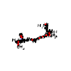 CCCOc1ccccc1-c1ncc(-c2ncc(-c3ccc(NCCCn4cc(COCCOCCOCCC(=O)N[C@H](C(=O)N5C[C@H](O)C[C@H]5C(=O)NCc5ccc(-c6scnc6C)cc5)C(C)(C)C)nn4)nc3)cc2/C=C/c2ccc3c(c2)CCC=C3)cc1C